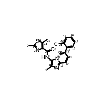 Cc1nc(C(=O)Nc2c(C)nc3ccc(-c4ccccc4Cl)nn23)c(C)s1